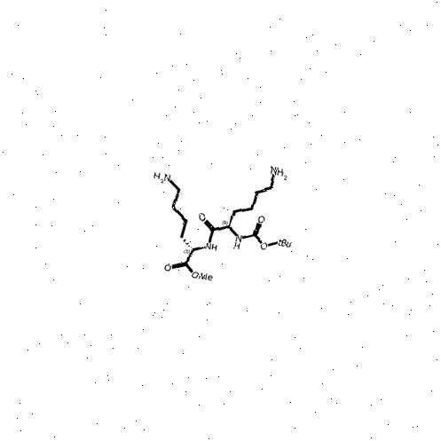 COC(=O)[C@H](CCCCN)NC(=O)[C@@H](CCCCN)NC(=O)OC(C)(C)C